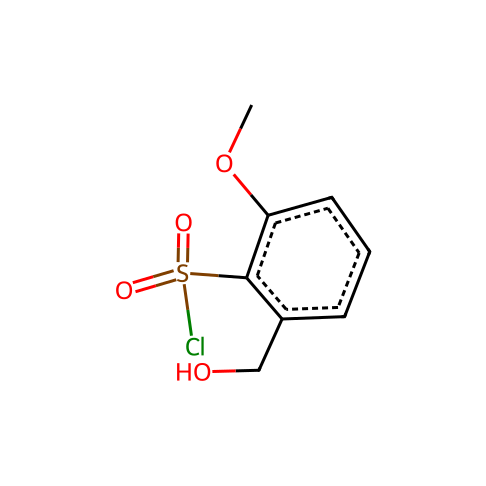 COc1cccc(CO)c1S(=O)(=O)Cl